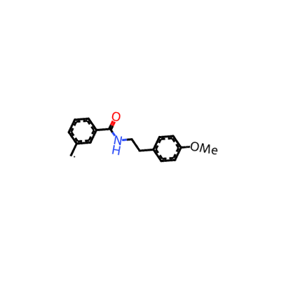 [CH2]c1cccc(C(=O)NCCc2ccc(OC)cc2)c1